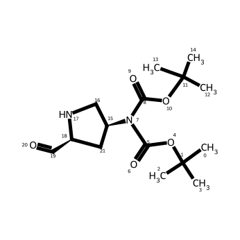 CC(C)(C)OC(=O)N(C(=O)OC(C)(C)C)[C@@H]1CN[C@H](C=O)C1